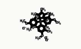 COc1cc(C)c([Si](c2cc(C)c(OC)cc2C)(c2cc(C)c(OC)cc2C)C2(C)C(C)=C(C)C(C)=[C]2[Ti+3])cc1C.[Cl-].[Cl-].[Cl-]